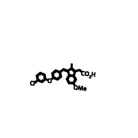 COc1ccc2c(c1)C(CC(=O)O)=C(C)/C2=C/c1ccc(Oc2cccc(Cl)c2)cc1